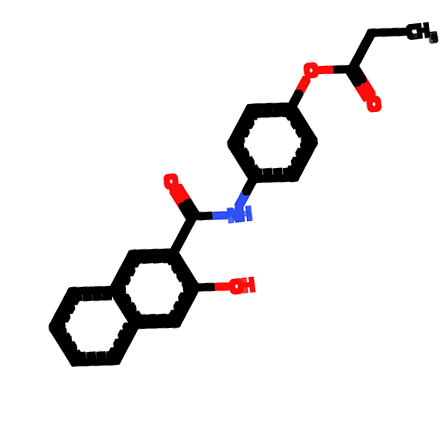 CCC(=O)Oc1ccc(NC(=O)c2cc3ccccc3cc2O)cc1